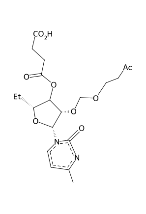 CC[C@H]1O[C@@H](n2ccc(C)nc2=O)[C@@H](OCOCCC(C)=O)C1OC(=O)CCC(=O)O